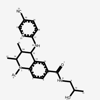 CC(=O)N1c2ccc(C(=O)NCC(C)O)cc2C(Nc2ccc(C#N)cn2)C(C)C1C